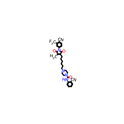 CC1=C(CCCCCCN2CCN(C(=O)Nc3ccccc3C#N)CC2)C(=O)N(c2ccc(C#N)c(C(F)(F)F)c2)C1=O